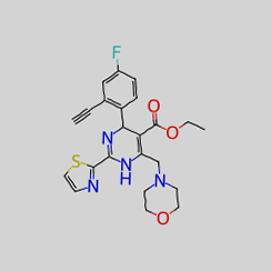 C#Cc1cc(F)ccc1C1N=C(c2nccs2)NC(CN2CCOCC2)=C1C(=O)OCC